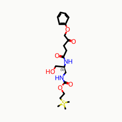 CS(C)(C)CCOC(=O)NC[C@@H](CO)NC(=O)CCC(=O)COc1ccccc1